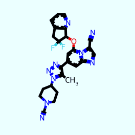 Cc1c(-c2cc(OC3c4ncccc4CC3(F)F)n3c(C#N)cnc3c2)nnn1C1CCN(C#N)CC1